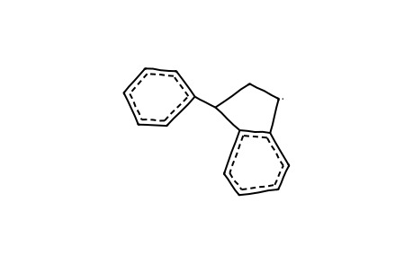 [CH]1CC(c2ccccc2)c2ccccc21